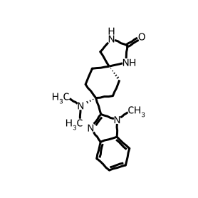 Cn1c2ccccc2nc1[C@]1(N(C)C)CC[C@]2(CC1)CNC(=O)N2